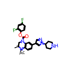 CC(=O)N1c2ccc(-c3cnn(C4CCNCC4)c3)cc2N(C(=O)Oc2ccc(F)cc2F)C[C@@H]1C